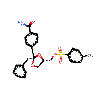 Cc1ccc(S(=O)(=O)OC[C@@H]2CO[C@@](Cc3ccccc3)(c3ccc(C(N)=O)cc3)O2)cc1